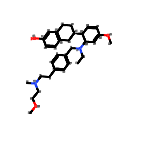 CCN(Cc1ccc(CCN(C)CCOC)cc1)C1C=C(OC)C=CC1[C@@H]1CCc2cc(O)ccc2C1